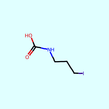 O=C(O)NCCCI